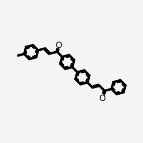 Cc1ccc(/C=C/C(=O)c2ccc(-c3ccc(/C=C/C(=O)c4ccccc4)cc3)cc2)cc1